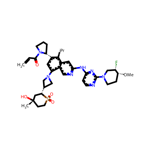 C=CC(=O)N1CCC[C@@H]1c1cc(N2CC([C@H]3C[C@@](C)(O)CCS3(=O)=O)C2)c2cnc(Nc3ccnc(N4CC[C@@H](OC)[C@@H](F)C4)n3)cc2c1C(C)C